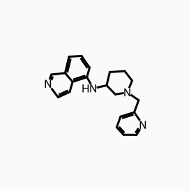 c1ccc(CN2CCCC(Nc3cccc4cnccc34)C2)nc1